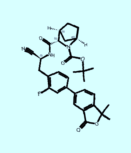 CC(C)(C)OC(=O)N1[C@@H]2CC[C@@H](C2)[C@H]1C(=O)N[C@H](C#N)Cc1ccc(-c2ccc3c(c2)C(=O)OC3(C)C)cc1F